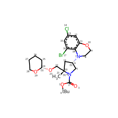 CC(C)(C)OC(=O)N1C[C@@H](N2CCOc3cc(Cl)cc(Br)c32)C[C@@]1(C)CO[C@H]1CCCCO1